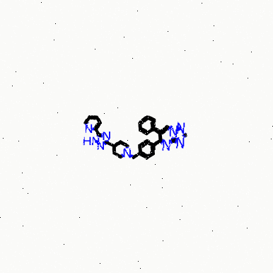 c1ccc(-c2cn3ncnc3nc2-c2ccc(CN3CCC(c4n[nH]c(-c5ccccn5)n4)CC3)cc2)cc1